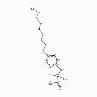 CCCCCCCCCc1ccc(OC(F)(F)C(=O)O)cc1